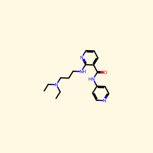 CCN(CC)CCCNc1ncccc1C(=O)Nc1ccncc1